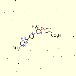 Cc1ccc2[nH]c(-c3ccc(-c4cnc(O[C@H]5CC[C@H](CC(=O)O)CC5)c(C)c4)nc3)nc2n1